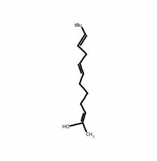 CC(O)=CCCCC=CCC=CC(C)(C)C